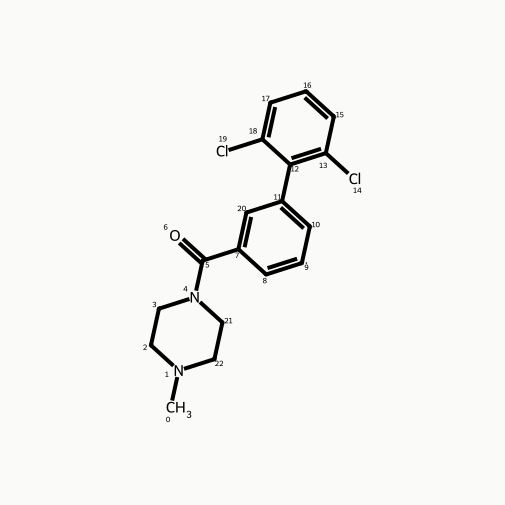 CN1CCN(C(=O)c2c[c]cc(-c3c(Cl)cccc3Cl)c2)CC1